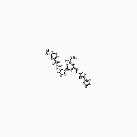 CCCCNc1nc(NCc2csc(-c3cccs3)n2)nc(N2CCC[C@@H]2CNS(=O)(=O)c2cccc(OCC)c2)n1